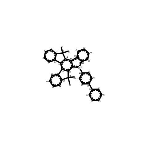 CC1(C)c2ccccc2-c2c3c(c4c(c21)c1ccccc1n4-c1ccc(-c2ccccc2)cc1)C(C)(C)c1ccccc1-3